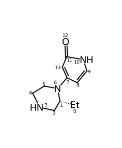 CC[C@@H]1CNCCN1c1cc[nH]c(=O)c1